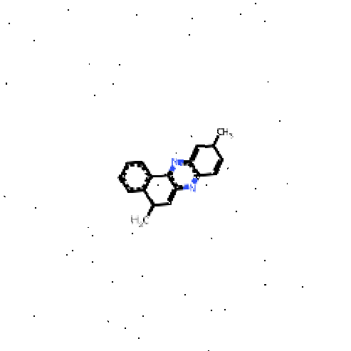 CC1C=Cc2nc3c(nc2=C1)-c1ccccc1C(C)C=3